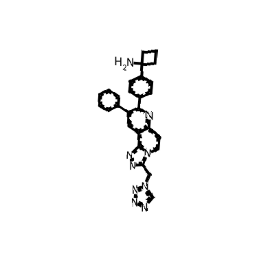 NC1(c2ccc(-c3nc4ccn5c(Cn6cnnn6)nnc5c4cc3-c3ccccc3)cc2)CCC1